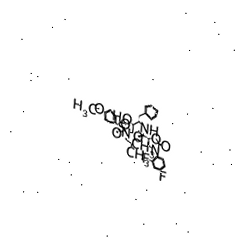 COc1ccc(S(=O)(=O)N(CC(C)C)C[C@@H](O)[C@H](Cc2ccccc2)NC(=O)[C@@H]2CN(c3ccc(F)cc3F)C(=O)O2)cc1